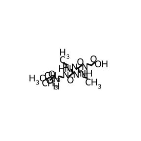 CCCNc1nc(C(=O)NCCC(=O)O)c(NCCC)nc1C(=O)NCCNC(=O)OC(C)(C)C